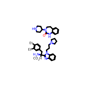 CCc1ccc(CC(N)(C(=O)O)c2nc3ccccc3n2CCCN2CCCC2)cc1CC.O=C1Nc2ccccc2CCN1C1CCNCC1